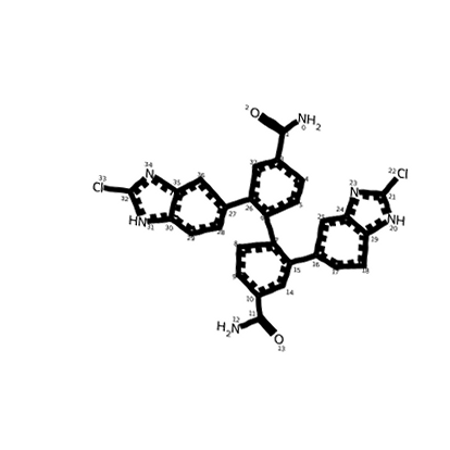 NC(=O)c1ccc(-c2ccc(C(N)=O)cc2-c2ccc3[nH]c(Cl)nc3c2)c(-c2ccc3[nH]c(Cl)nc3c2)c1